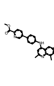 COC(=O)c1ccc(-c2ccc(Nc3cc(C)nc4c(C)cc(C)cc34)cc2)cn1